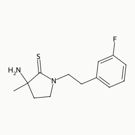 CC1(N)CCN(CCc2cccc(F)c2)C1=S